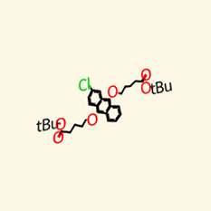 CC(C)(C)OC(=O)CCCCOc1c2ccccc2c(OCCCCC(=O)OC(C)(C)C)c2cc(Cl)ccc12